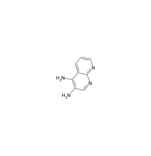 Nc1cnc2ncccc2c1N